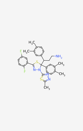 Cc1nnc(N2N=C(c3cc(F)ccc3F)SC2(c2ccc(C)c(C)c2)C(CCN)c2ccc(C)c(C)c2)s1